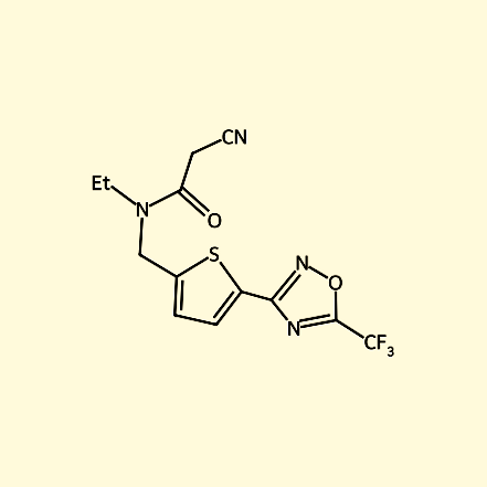 CCN(Cc1ccc(-c2noc(C(F)(F)F)n2)s1)C(=O)CC#N